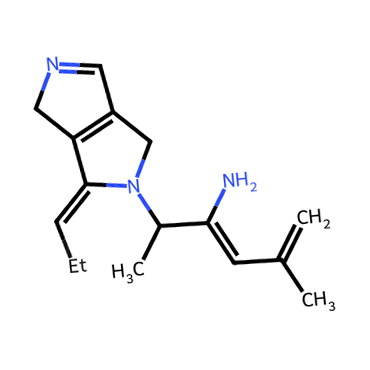 C=C(C)/C=C(\N)C(C)N1CC2=C(CN=C2)/C1=C/CC